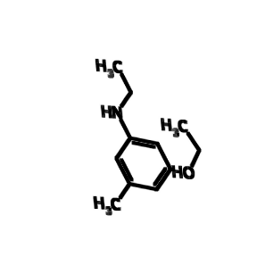 CCNc1cccc(C)c1.CCO